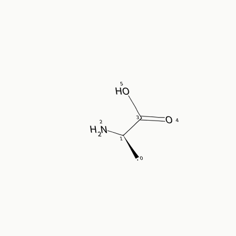 [CH2][C@@H](N)C(=O)O